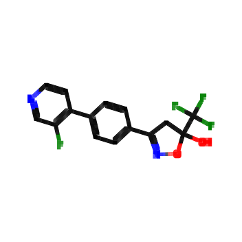 OC1(C(F)(F)F)CC(c2ccc(-c3ccncc3F)cc2)=NO1